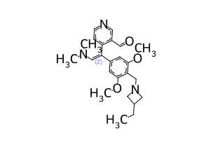 CCC1CN(Cc2c(OC)cc(/C(=C/N(C)C)c3ccncc3C=O)cc2OC)C1